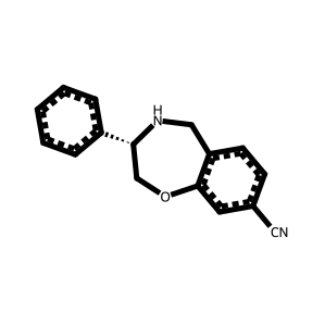 N#Cc1ccc2c(c1)OC[C@H](c1ccccc1)NC2